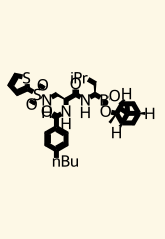 CCCCc1ccc(C(=O)N[C@@H](CNS(=O)(=O)c2cccs2)C(=O)N[C@@H](CC(C)C)B2O[C@@H]3C[C@@H]4C[C@@H](C4(C)C)[C@]3(C)O2)cc1